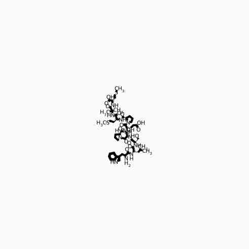 CSCC[C@H](NC(=O)C(C)(C)NC(=O)[C@H](CCSC)NC(=O)[C@@H]1CCCN1C(=O)[C@H](CCC(=O)O)NC(=O)[C@@H]1CCCN1C(=O)[C@@H](NC(=O)[C@H](CO)NC(=O)[C@H](CC(C)C)NC(=O)[C@@H](N)Cc1c[nH]c2ccccc12)[C@@H](C)O)C(=O)O